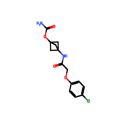 NC(=O)OC12CC(NC(=O)COc3ccc(Cl)cc3)(C1)C2